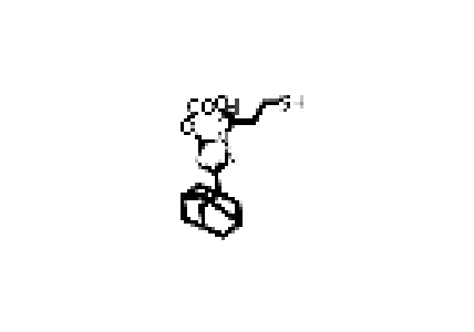 O=C(O)OC1SC(C23CC4CC(CC(C4)C2)C3)=NN1C(=O)CCS